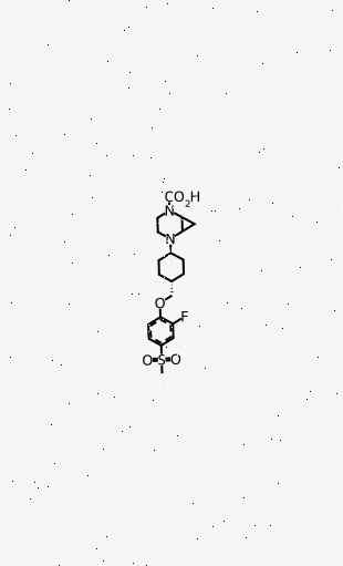 CS(=O)(=O)c1ccc(OC[C@H]2CC[C@H](N3CCN(C(=O)O)C4CC43)CC2)c(F)c1